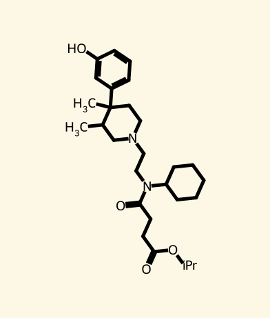 CC(C)OC(=O)CCC(=O)N(CCN1CCC(C)(c2cccc(O)c2)C(C)C1)C1CCCCC1